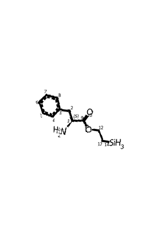 N[C@@H](Cc1ccccc1)C(=O)OCC[SiH3]